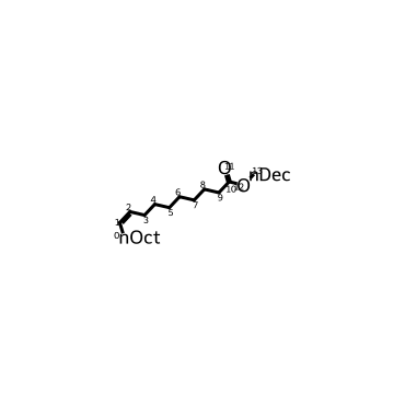 CCCCCCCC/C=C\CCCCCCCC(=O)OCCCCCCCCCC